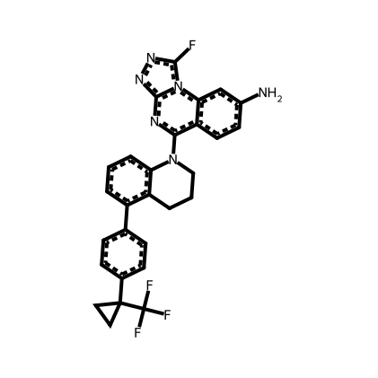 Nc1ccc2c(N3CCCc4c(-c5ccc(C6(C(F)(F)F)CC6)cc5)cccc43)nc3nnc(F)n3c2c1